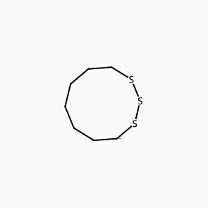 [CH]1CCCCCCSSS1